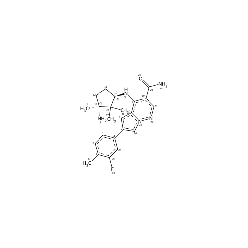 Cc1ccc(-c2cc3c(N[C@@H]4CC[C@](C)(N)C4(C)C)c(C(N)=O)cnn3c2)cc1F